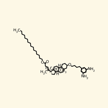 CCCCCCCCCCCCCCCCOC(=O)CC[C@@H](C)[C@H]1CC[C@H]2[C@@H]3CCC4CC(OCCCCc5cc(N)cc(N)c5)CC[C@]4(C)[C@H]3CC[C@]12C